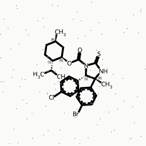 CC(C)[C@@H]1CC[C@@H](C)C[C@H]1OC(=O)N1C(=S)N[C@](C)(c2ccc(Br)cc2)[C@@H]1c1ccc(Cl)cc1